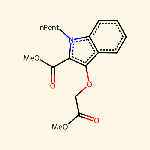 CCCCCn1c(C(=O)OC)c(OCC(=O)OC)c2ccccc21